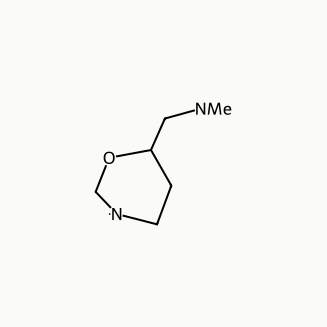 CNCC1CC[N]CO1